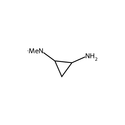 C[N]C1CC1N